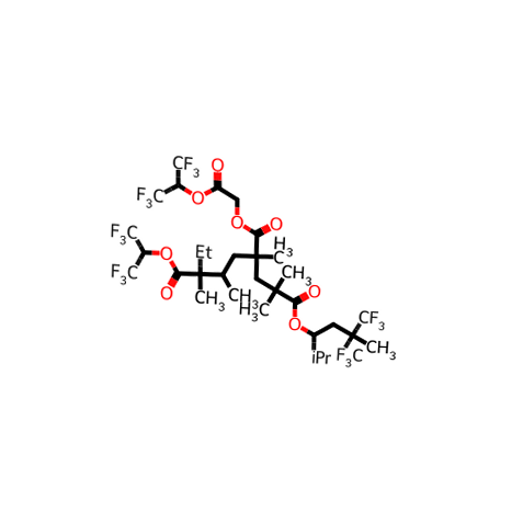 CCC(C)(C(=O)OC(C(F)(F)F)C(F)(F)F)C(C)CC(C)(CC(C)(C)C(=O)OC(CC(C)(C(F)(F)F)C(F)(F)F)C(C)C)C(=O)OCC(=O)OC(C(F)(F)F)C(F)(F)F